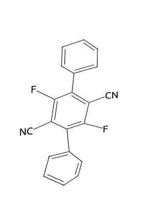 N#Cc1c(F)c(-c2ccccc2)c(C#N)c(F)c1-c1ccccc1